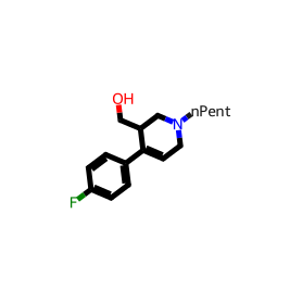 CCCCCN1CC=C(c2ccc(F)cc2)C(CO)C1